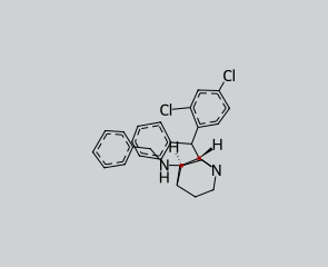 Clc1ccc(C(c2ccccc2)[C@H]2[C@H](NCc3ccccc3)C3CCN2CC3)c(Cl)c1